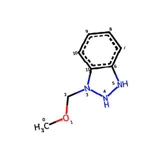 COCN1NNc2ccccc21